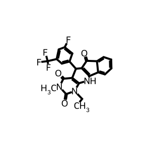 CCn1c2c(c(=O)n(C)c1=O)C(c1cc(F)cc(C(F)(F)F)c1)C1=C(N2)c2ccccc2C1=O